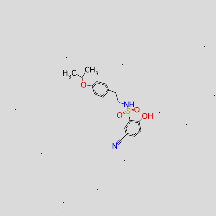 CC(C)Oc1ccc(CCNS(=O)(=O)c2cc(C#N)ccc2O)cc1